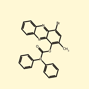 Cc1cc(Br)c2nc3ccccc3nc2c1OC(=O)N(c1ccccc1)c1ccccc1